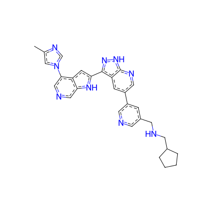 Cc1cn(-c2cncc3[nH]c(-c4n[nH]c5ncc(-c6cncc(CNCC7CCCC7)c6)cc45)cc23)cn1